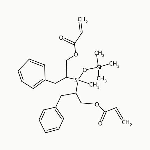 C=CC(=O)OCC(Cc1ccccc1)[Si](C)(O[Si](C)(C)C)C(COC(=O)C=C)Cc1ccccc1